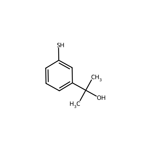 CC(C)(O)c1cccc(S)c1